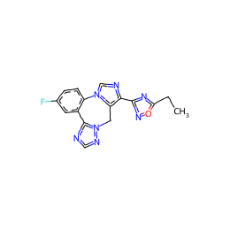 CCc1nc(-c2ncn3c2Cn2ncnc2-c2cc(F)ccc2-3)no1